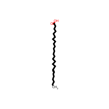 CCCCCCC=CCCCCCCCCCCCCCCCCCC(=O)O